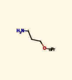 CCCOCC[CH]N